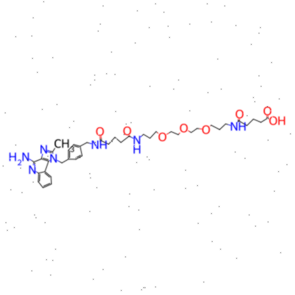 Cc1nc2c(N)nc3ccccc3c2n1Cc1ccc(CNC(=O)CCCC(=O)NCCCOCCOCCOCCCNC(=O)CCCC(=O)O)cc1